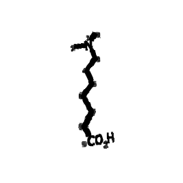 CN(C)CCCCCCC(=O)O